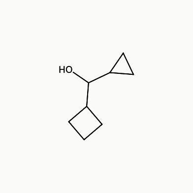 OC(C1CCC1)C1CC1